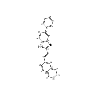 C(=Cc1nc2cc(-c3ccccc3)ccc2[nH]1)c1ccc2ccccc2c1